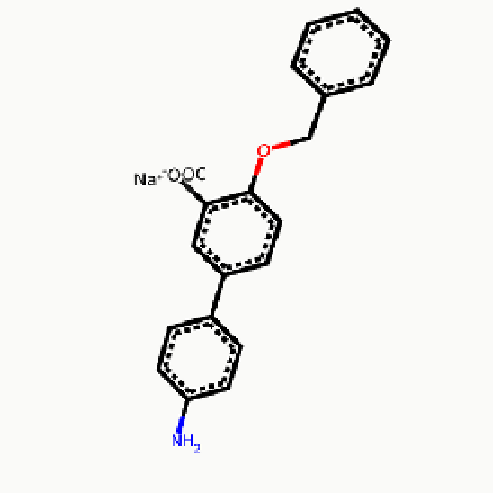 Nc1ccc(-c2ccc(OCc3ccccc3)c(C(=O)[O-])c2)cc1.[Na+]